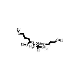 [CH2]CC(OC)([SiH2]OCCCOCC)[SiH2]OC(CCCOCC)OCC